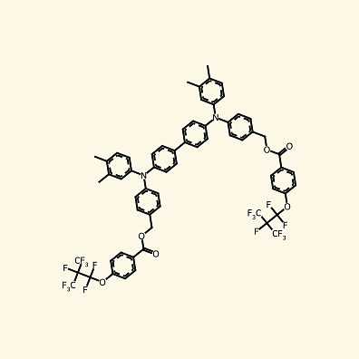 Cc1ccc(N(c2ccc(COC(=O)c3ccc(OC(F)(F)C(F)(C(F)(F)F)C(F)(F)F)cc3)cc2)c2ccc(-c3ccc(N(c4ccc(COC(=O)c5ccc(OC(F)(F)C(F)(C(F)(F)F)C(F)(F)F)cc5)cc4)c4ccc(C)c(C)c4)cc3)cc2)cc1C